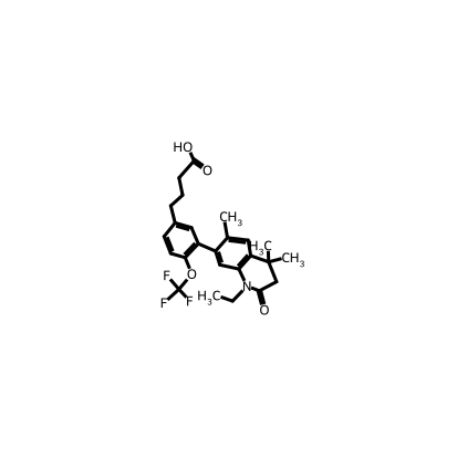 CCN1C(=O)CC(C)(C)c2cc(C)c(-c3cc(CCCC(=O)O)ccc3OC(F)(F)F)cc21